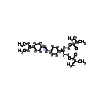 C=C(C)C(=O)OCCN(CCOC(=O)C(=C)C)c1ccc(/C=C/c2ccc(N(CC)CC)cc2)cc1